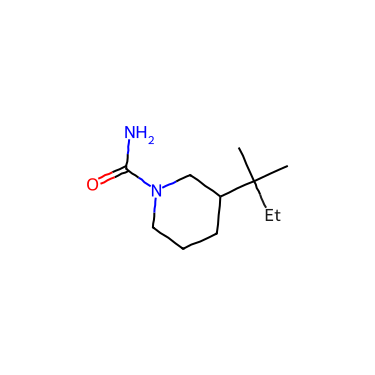 CCC(C)(C)C1CCCN(C(N)=O)C1